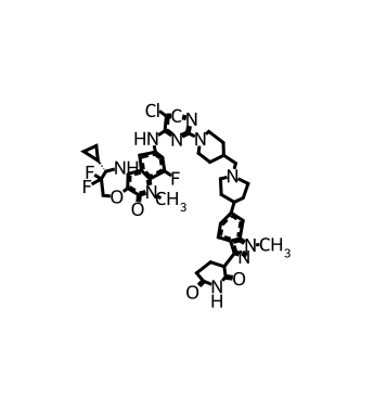 Cn1nc(C2CCC(=O)NC2=O)c2ccc(C3CCN(CC4CCN(c5ncc(Cl)c(Nc6cc(F)c7c(c6)c6c(c(=O)n7C)OCC(F)(F)[C@H](C7CC7)N6)n5)CC4)CC3)cc21